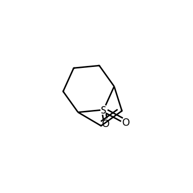 O=S1(=O)C2C=CC1CCC2